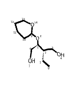 CC[C@@H](CO)[C@@H](CO)OC1CCCCO1